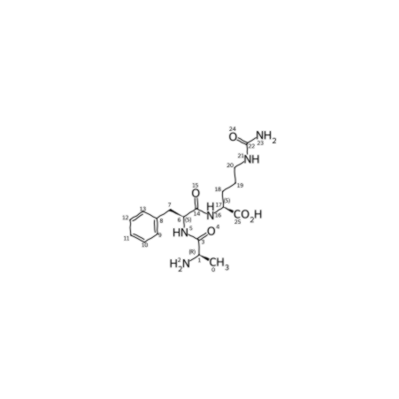 C[C@@H](N)C(=O)N[C@@H](Cc1ccccc1)C(=O)N[C@@H](CCCNC(N)=O)C(=O)O